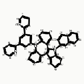 c1ccc(-c2cc(-c3ccccn3)cc(N3c4ccccc4-c4c(n(-c5ccc6ccccc6c5)c5ccccc45)-c4ccccc43)c2)nc1